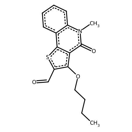 CCCCOc1c(C=O)sc2c1c(=O)n(C)c1ccccc21